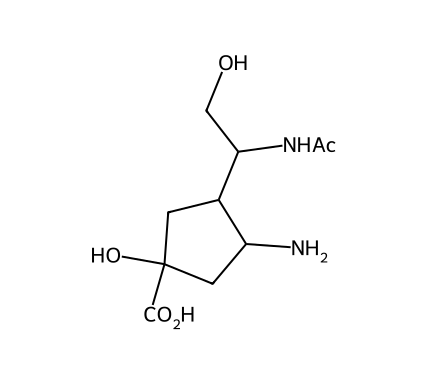 CC(=O)NC(CO)C1CC(O)(C(=O)O)CC1N